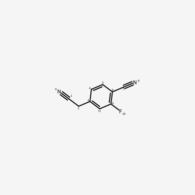 N#CCc1ccc(C#N)c(F)c1